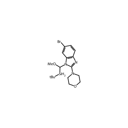 COC([SiH2]C(C)(C)C)n1c(N2CCOCC2)nc2ccc(Br)cc21